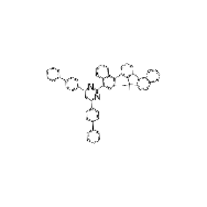 CC1(C)c2ccc3ccccc3c2-c2cccc(-c3ccc(-c4nc(-c5ccc(-c6ccccc6)cc5)cc(-c5ccc(-c6ccccc6)cc5)n4)c4ccccc34)c21